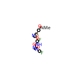 CNC(=O)c1ccc(-c2cc3nccc(Oc4ccc(NC(=O)c5nccn(-c6ccc(F)cc6)c5=O)cc4F)c3s2)cc1